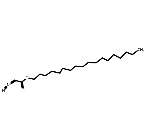 CCCCCCCCCCCCCCCCCCOC(=O)C=[N+]=[N-]